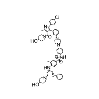 Cc1cc(S(=O)(=O)Nc2ccc(N3CCN(c4cccc(-c5c(C(=O)N6CCC(O)CC6)c(C)n(C)c5-c5ccc(Cl)cc5)c4)CC3)cc2)ccc1N[C@H](CCN1CCC(O)CC1)CSc1ccccc1